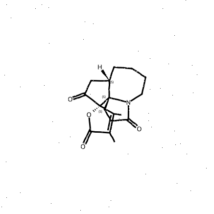 CC1=C(C)[C@@]2(OC1=O)C(=O)C[C@@H]1CCCCN3C(=O)CC[C@@]132